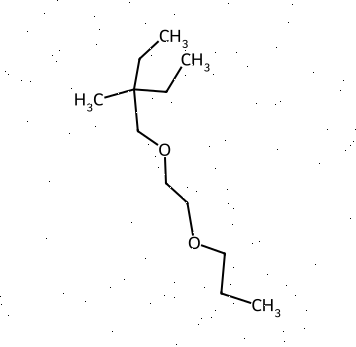 CCCOCCOCC(C)(CC)CC